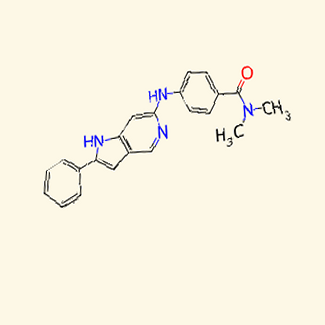 CN(C)C(=O)c1ccc(Nc2cc3[nH]c(-c4ccccc4)cc3cn2)cc1